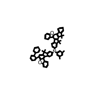 Cc1cc(C)cc(N(c2ccc3c(c2)C(C)(C)c2cc(-c4ccccc4-c4ccccc4)c4oc5ccccc5c4c2-3)c2ccc3c(c2)C(C)(C)c2c4c(c5oc6ccccc6c5c2-3)-c2ccccc2C4(C)C)c1